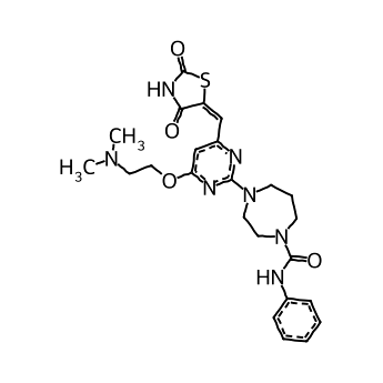 CN(C)CCOc1cc(/C=C2/SC(=O)NC2=O)nc(N2CCCN(C(=O)Nc3ccccc3)CC2)n1